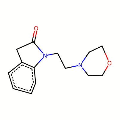 O=C1Cc2ccccc2N1CCN1CCOCC1